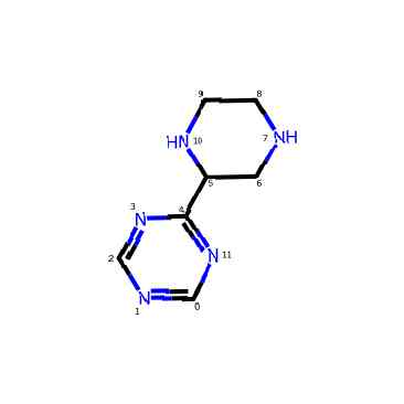 c1ncnc(C2CNCCN2)n1